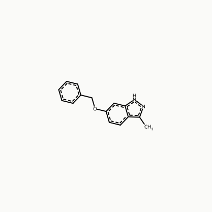 Cc1n[nH]c2cc(OCc3ccccc3)ccc12